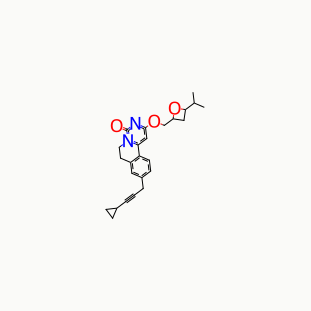 CC(C)C1CC(COc2cc3n(c(=O)n2)CCc2cc(CC#CC4CC4)ccc2-3)O1